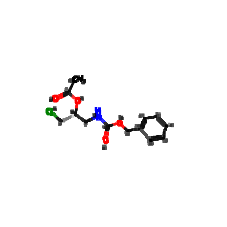 CC(=O)O[C@@H](CCl)CNC(=O)OCc1ccccc1